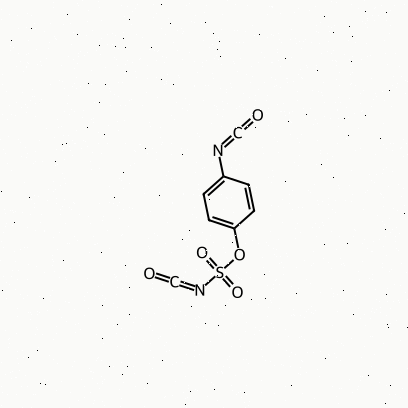 O=C=Nc1ccc(OS(=O)(=O)N=C=O)cc1